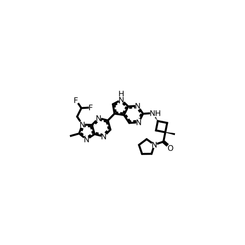 Cc1nc2ncc(-c3c[nH]c4nc(N[C@H]5C[C@@](C)(C(=O)N6CCCC6)C5)ncc34)nc2n1CC(F)F